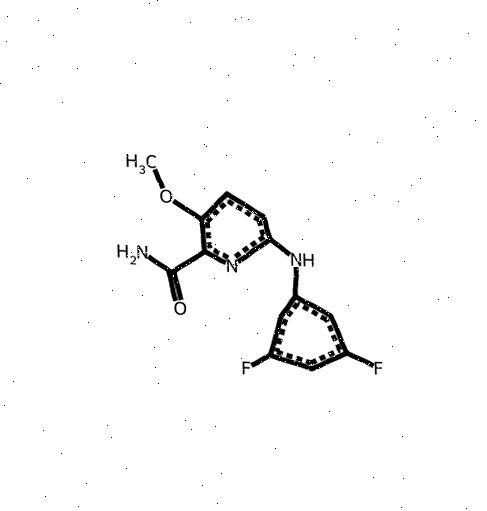 COc1ccc(Nc2cc(F)cc(F)c2)nc1C(N)=O